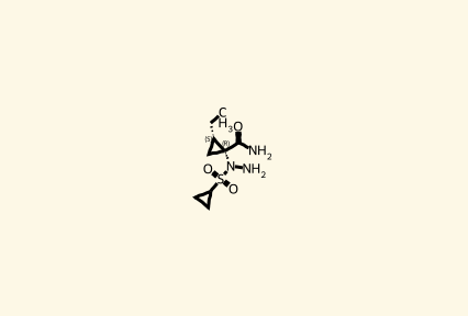 CC[C@H]1C[C@@]1(C(N)=O)N(N)S(=O)(=O)C1CC1